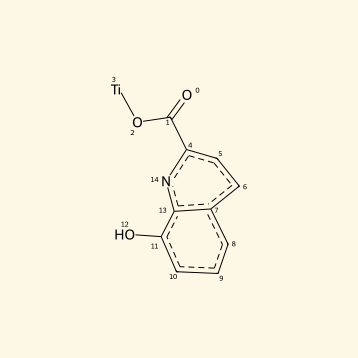 O=C([O][Ti])c1ccc2cccc(O)c2n1